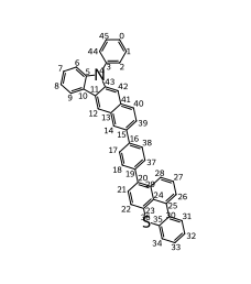 c1ccc(-n2c3ccccc3c3cc4cc(-c5ccc(-c6ccc7c8c(cccc68)-c6ccccc6S7)cc5)ccc4cc32)cc1